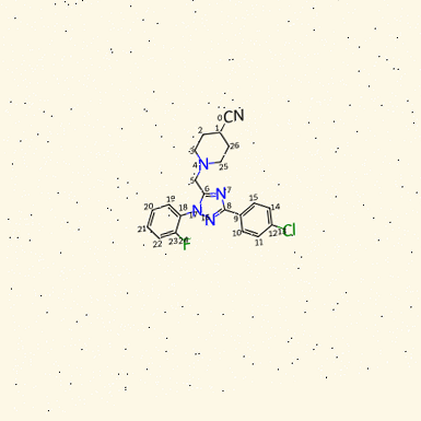 N#CC1CCN(Cc2nc(-c3ccc(Cl)cc3)nn2-c2ccccc2F)CC1